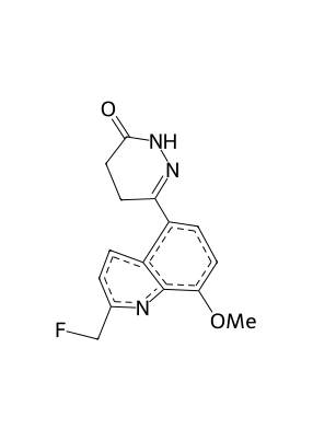 COc1ccc(C2=NNC(=O)CC2)c2ccc(CF)nc12